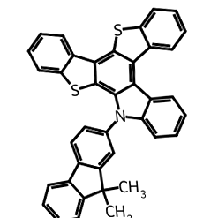 CC1(C)c2ccccc2-c2ccc(-n3c4ccccc4c4c5c6ccccc6sc5c5c6ccccc6sc5c43)cc21